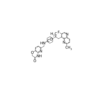 C=C(Cc1c(F)cnc2ccc(C)nc12)C12CCC(NCc3ccc4c(n3)NC(=O)CO4)(CC1)CO2